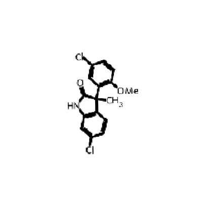 COc1ccc(Cl)cc1C1(C)C(=O)Nc2cc(Cl)ccc21